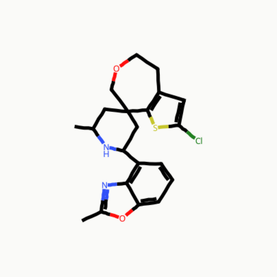 Cc1nc2c(C3CC4(COCCc5cc(Cl)sc54)CC(C)N3)cccc2o1